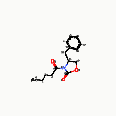 CC(=O)CCCC(=O)N1C(=O)OCC1Cc1ccccc1